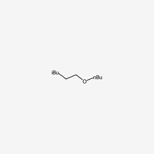 CCCCOCCC(C)CC